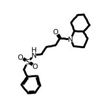 O=C(CCCNS(=O)(=O)Cc1ccccc1)N1CCCC2CCCCC21